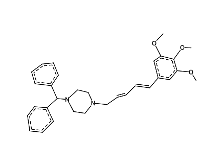 COc1cc(/C=C/C=C/CN2CCN(C(c3ccccc3)c3ccccc3)CC2)cc(OC)c1OC